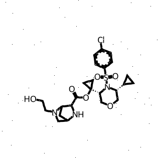 O=C(OC1([C@H]2COC[C@@H](C3CC3)N2S(=O)(=O)c2ccc(Cl)cc2)CC1)C1NC2CC1N(CCO)C2